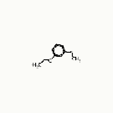 [CH2]COc1cccc(SC)c1